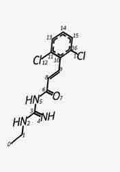 CCNC(=N)NC(=O)/C=C/c1c(Cl)cccc1Cl